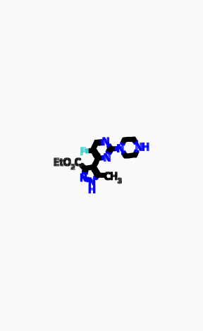 CCOC(=O)c1n[nH]c(C)c1-c1nc(N2CCNCC2)ncc1F